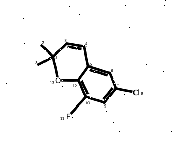 CC1(C)C=[C]c2cc(Cl)cc(F)c2O1